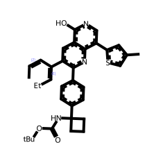 C/C=C\C(=C/CC)c1cc2c(O)ncc(-c3cc(C)cs3)c2nc1-c1ccc(C2(NC(=O)OC(C)(C)C)CCC2)cc1